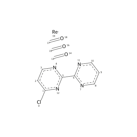 Clc1ccnc(-c2ncccn2)n1.[C]=O.[C]=O.[C]=O.[Re]